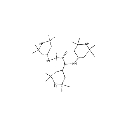 CC1(C)CC(NN(C(=O)C(C)(C)NC2CC(C)(C)NC(C)(C)C2)C2CC(C)(C)NC(C)(C)C2)CC(C)(C)N1